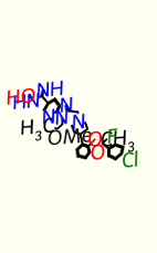 COC(C)Cn1c(CN2CCC(c3cccc4c3OC(C)(c3ccc(Cl)cc3F)O4)CC2)nc2cc(C(=N)NO)cnc21